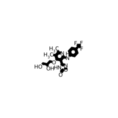 Cc1nc(Nc2ccc(C(F)(F)F)cc2)c(-c2noc(=O)[nH]2)c(OCC(O)CO)c1C